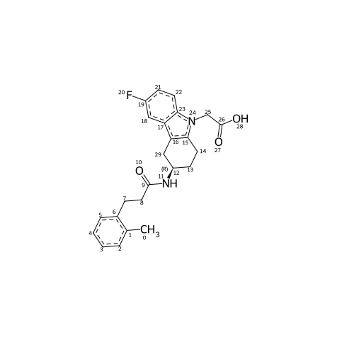 Cc1ccccc1CCC(=O)N[C@@H]1CCc2c(c3cc(F)ccc3n2CC(=O)O)C1